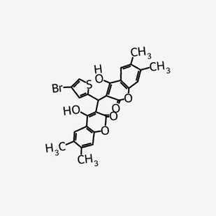 Cc1cc2oc(=O)c(C(c3cc(Br)cs3)c3c(O)c4cc(C)c(C)cc4oc3=O)c(O)c2cc1C